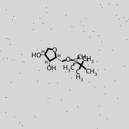 CC(C)(C)[Si](C)(C)OC[C@H]1OC[C@@H](O)[C@H]1O